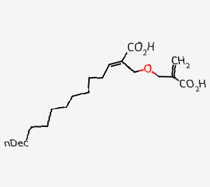 C=C(COCC(=CCCCCCCCCCCCCCCCCCC)C(=O)O)C(=O)O